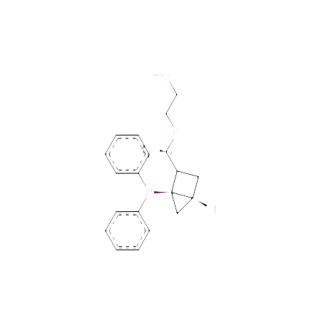 C[C@@H](OCCO)C1C[C@@H]2C[C@]12P(c1ccccc1)c1ccccc1